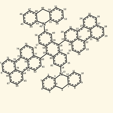 c1ccc2c(c1)Cc1ccccc1N2c1ccc2c(-c3ccc4c5cccc6cccc(c7cccc3c74)c65)c3cc(N4c5ccccc5Cc5ccccc54)ccc3c(-c3ccc4c5cccc6cccc(c7cccc3c74)c65)c2c1